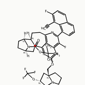 C#Cc1c(F)ccc2cccc(-c3nc4c5c(nc(OC[C@@]67CCCN6C[C@H](OC(F)(F)F)C7)nc5c3F)N3C[C@H]5CC[C@@H]([C@H]3CC4)N5C(=O)OC(C)(C)C)c12